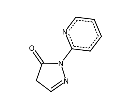 O=C1CC=NN1c1ccccn1